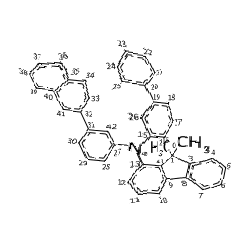 CC1(C)c2ccccc2-c2cccc(N(c3cccc(-c4ccccc4)c3)c3cccc(-c4ccc5ccccc5c4)c3)c21